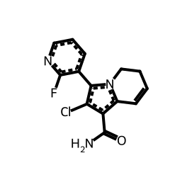 NC(=O)c1c(Cl)c(-c2cccnc2F)n2c1C=CCC2